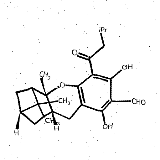 CC(C)CC(=O)c1c(O)c(C=O)c(O)c2c1O[C@@]1(C)C3C[C@@H](C[C@H]1C2)C3(C)C